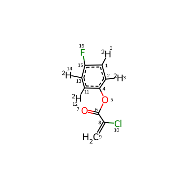 [2H]c1c([2H])c(OC(=O)C(=C)Cl)c([2H])c([2H])c1F